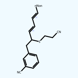 CCCCCCCCC/C=C/C=C/C(Cc1cccc(C#N)c1)SCCC#N